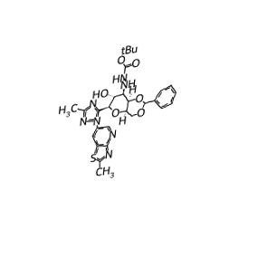 Cc1nc([C@@H]2O[C@@H]3COC(c4ccccc4)O[C@@H]3[C@H](NNC(=O)OC(C)(C)C)[C@H]2O)n(-c2cnc3nc(C)sc3c2)n1